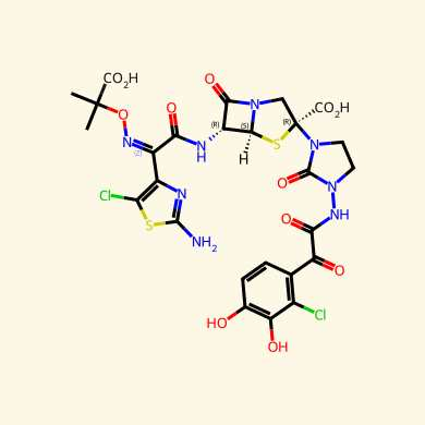 CC(C)(O/N=C(\C(=O)N[C@@H]1C(=O)N2C[C@@](C(=O)O)(N3CCN(NC(=O)C(=O)c4ccc(O)c(O)c4Cl)C3=O)S[C@@H]12)c1nc(N)sc1Cl)C(=O)O